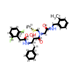 Cc1ccccc1CNC(=O)CN(CSC(C)C)C(=O)[C@@H](O)[C@H](Cc1ccccc1)NC(=O)Cc1c(F)cccc1F